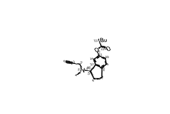 C#CCN(C)[C@@H]1CCc2ccc(OC(=O)C(C)(C)C)cc21